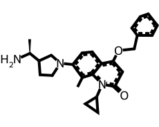 Cc1c(N2CCC([C@H](C)N)C2)ccc2c(OCc3ccccc3)cc(=O)n(C3CC3)c12